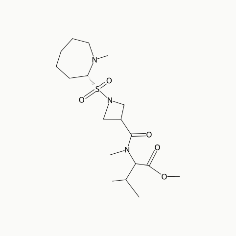 COC(=O)C(C(C)C)N(C)C(=O)C1CN(S(=O)(=O)[C@@H]2CCCCCN2C)C1